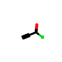 C#CC(=O)Cl